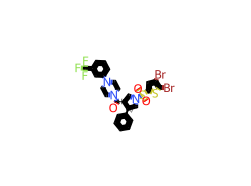 O=C([C@@H]1CN(S(=O)(=O)c2cc(Br)c(Br)s2)C[C@H]1c1ccccc1)N1CCN(c2cccc(C(F)(F)F)c2)CC1